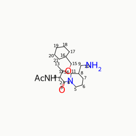 CC(=O)NC(C(=O)N1CCCC(CN)C1)C(C)OCC1CCCCC1